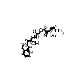 C=C(OCC(=O)NCC(O)CN1CCc2ccccc2C1)/C(=C\C=C/C)NC(C)=O